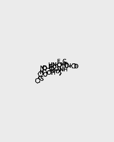 C=CC(=O)Nc1cc(Nc2nc(-c3ccnc(N4CCc5c(sc6c5CCCC6)C4=O)c3CO)cn(C)c2=O)ccc1N1CCN(C2CCOCC2)C[C@@H]1C(F)(F)F